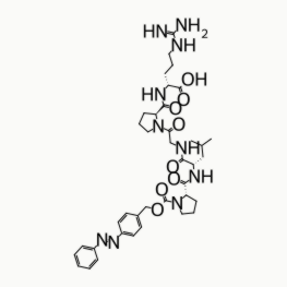 CC(C)C[C@H](NC(=O)[C@@H]1CCCN1C(=O)OCc1ccc(N=Nc2ccccc2)cc1)C(=O)NCC(=O)N1CCC[C@H]1C(=O)N[C@H](CCCNC(=N)N)C(=O)O